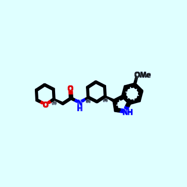 COc1ccc2[nH]cc([C@@H]3CCC[C@H](NC(=O)C[C@@H]4CCCCO4)C3)c2c1